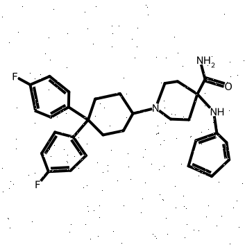 NC(=O)C1(Nc2ccccc2)CCN(C2CCC(c3ccc(F)cc3)(c3ccc(F)cc3)CC2)CC1